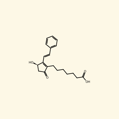 O=C(O)CCCCCCC1=C(/C=C/c2ccccc2)[C@H](O)CC1=O